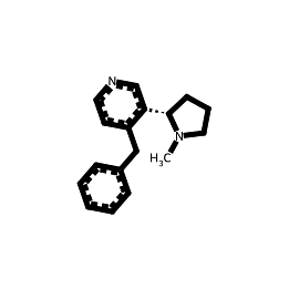 CN1CCC[C@H]1c1cnccc1Cc1ccccc1